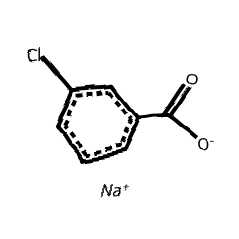 O=C([O-])c1cccc(Cl)c1.[Na+]